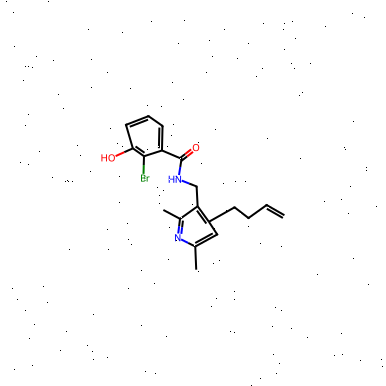 C=CCCc1cc(C)nc(C)c1CNC(=O)c1cccc(O)c1Br